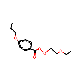 CCCOc1ccc(C(=O)OO[CH]COCC)cc1